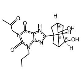 CCCn1c(=O)n(CC(C)=O)c(=O)c2[nH]c(C34CC5C(O)[C@H](C[C@@H]3[C@H]5O)C4)nc21